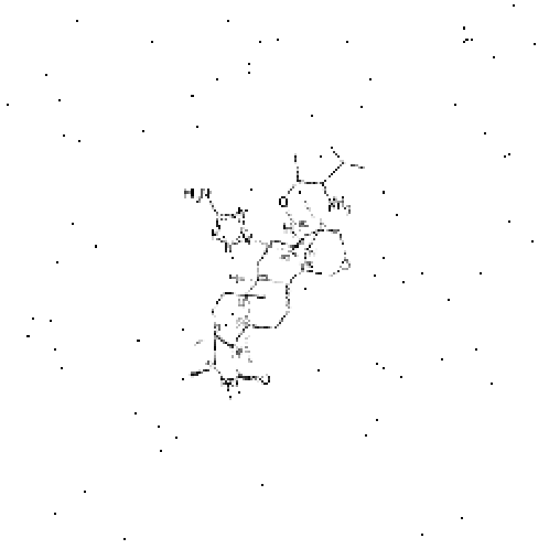 CC(C)C(N)C(C)O[C@H]1[C@@H](n2nnc(N)n2)C[C@@]23COC[C@@]1(C)[C@@H]2CC[C@H]1C3=CC[C@@]2(C)[C@H](C(=O)O)[C@@](C)([C@H](C)C(C)C)CC[C@]12C